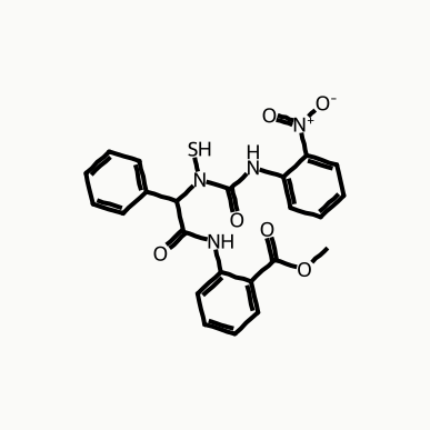 COC(=O)c1ccccc1NC(=O)C(c1ccccc1)N(S)C(=O)Nc1ccccc1[N+](=O)[O-]